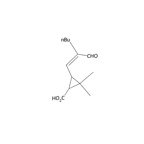 CCCCC(C=O)=CC1C(C(=O)O)C1(C)C